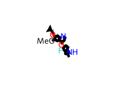 COc1cc2c(Oc3ccc4[nH]c(C)cc4c3F)ccnc2cc1OC[C]1CC1